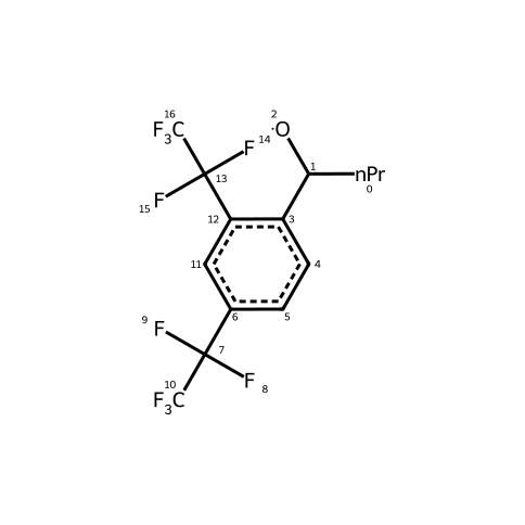 CCCC([O])c1ccc(C(F)(F)C(F)(F)F)cc1C(F)(F)C(F)(F)F